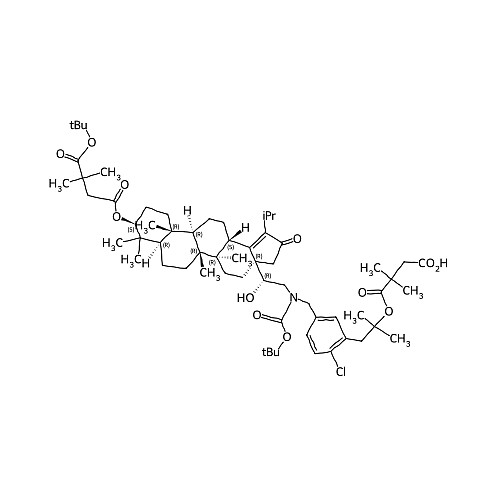 CC(C)C1=C2[C@H]3CC[C@@H]4[C@@]5(C)CC[C@H](OC(=O)CC(C)(C)C(=O)OC(C)(C)C)C(C)(C)[C@@H]5CC[C@@]4(C)[C@]3(C)CC[C@@]2([C@@H](O)CN(Cc2ccc(Cl)c(CC(C)(C)OC(=O)C(C)(C)CC(=O)O)c2)C(=O)OC(C)(C)C)CC1=O